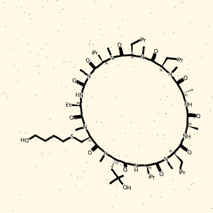 CC[C@H]1NC(=O)N(C)C(=O)[C@@H](C(C)C)N(C)C(=O)[C@@H](CC(C)C)N(C)C(=O)[C@@H](CC(C)C)N(C)C(=O)[C@H](C)NC(=O)[C@@H](C)NC(=O)[C@@H](CC(C)C)N(C)C(=O)[C@@H](C(C)C)NC(=O)[C@H](CC(C)(C)O)N(C)C(=O)[C@@H](CSCCCCO)N(C)C1=O